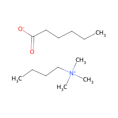 CCCCCC(=O)[O-].CCCC[N+](C)(C)C